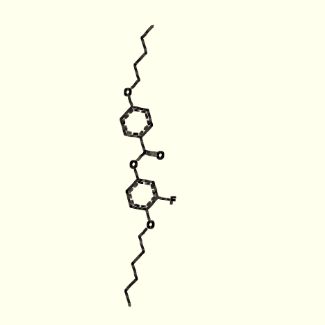 CCCCCCOc1ccc(OC(=O)c2ccc(OCCCCC)cc2)cc1F